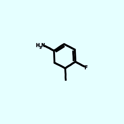 CC1CC(N)=CC=C1F